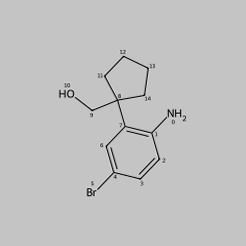 Nc1ccc(Br)cc1C1(CO)CCCC1